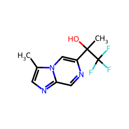 Cc1cnc2cnc(C(C)(O)C(F)(F)F)cn12